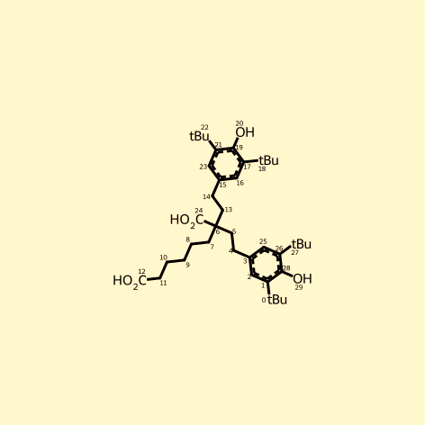 CC(C)(C)c1cc(CCC(CCCCCC(=O)O)(CCc2cc(C(C)(C)C)c(O)c(C(C)(C)C)c2)C(=O)O)cc(C(C)(C)C)c1O